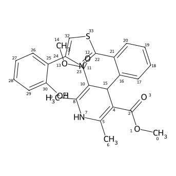 COC(=O)C1=C(C)NC(C)=C(C(=O)OC)C1c1ccccc1-c1nc(-c2ccccc2O)cs1